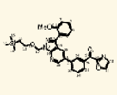 COc1ccccc1-c1nn(COCC[Si](C)(C)C)c2ncc(-c3cccc(C(=O)c4ncco4)c3)cc12